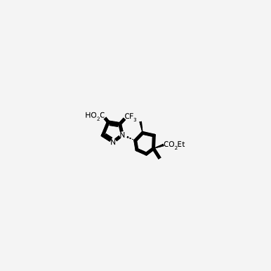 CCOC(=O)[C@@]1(C)CC[C@H](n2ncc(C(=O)O)c2C(F)(F)F)[C@@H](C)C1